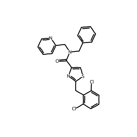 O=C(c1csc(Cc2c(Cl)cccc2Cl)n1)N(Cc1ccccc1)Cc1ccccn1